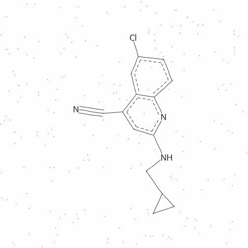 N#Cc1cc(NCC2CC2)nc2ccc(Cl)cc12